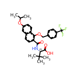 CC(C)Oc1ccc2c(OCc3ccc(C(F)(F)F)cc3)c(C(=O)N[C@H](C(=O)O)C(C)(C)C)ccc2c1